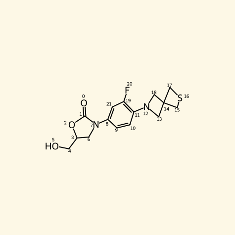 O=C1OC(CO)CN1c1ccc(N2CC3(CSC3)C2)c(F)c1